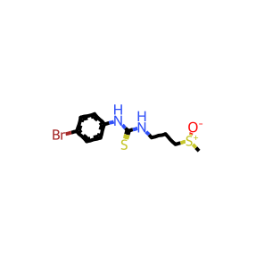 C[S+]([O-])CCCNC(=S)Nc1ccc(Br)cc1